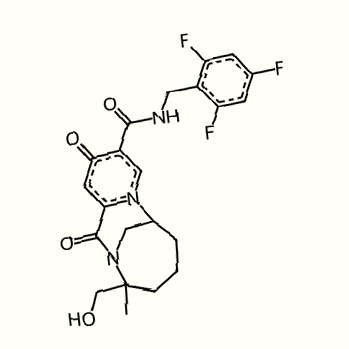 CC1(CO)CCCC2CN1C(=O)c1cc(=O)c(C(=O)NCc3c(F)cc(F)cc3F)cn12